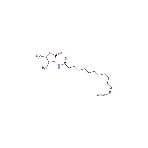 CCCCC/C=C\C/C=C\CCCCCCCC(=O)NC1C(=O)OC(C)C1C